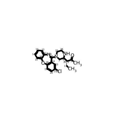 CC[C@@H](C(C)=O)C1CN(C2=Nc3ccccc3Oc3ccc(Cl)cc32)CCN1